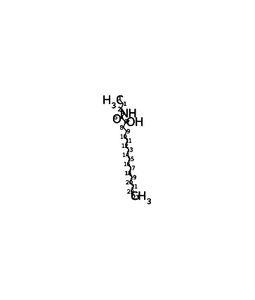 CC[CH]NC(=O)C(O)CCCCCCCCCCCCCCCC